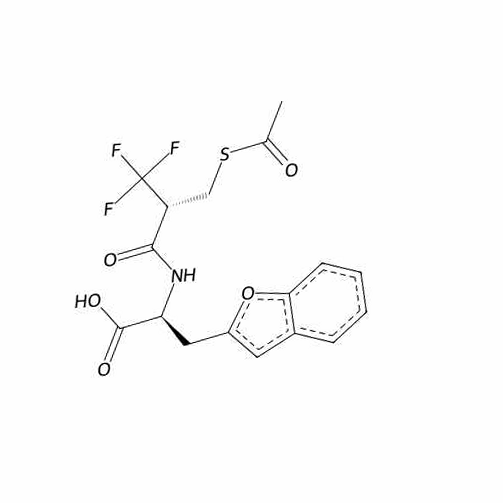 CC(=O)SC[C@H](C(=O)N[C@@H](Cc1cc2ccccc2o1)C(=O)O)C(F)(F)F